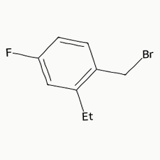 CCc1cc(F)ccc1CBr